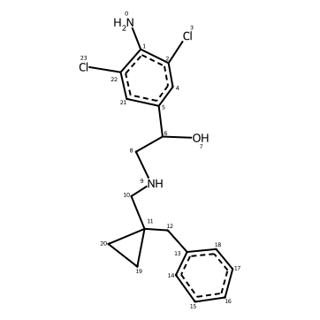 Nc1c(Cl)cc(C(O)CNCC2(Cc3ccccc3)CC2)cc1Cl